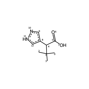 CC(C)(C)C(C(=O)O)c1cn[nH]c1